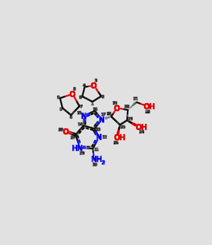 C1CCOC1.C1CCOC1.Nc1nc2c(ncn2[C@@H]2O[C@H](CO)[C@@H](O)[C@H]2O)c(=O)[nH]1